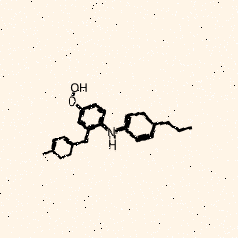 CCCC1C=CC(Nc2ccc(OO)cc2CC2=CC=C(C)CC2)=CC1